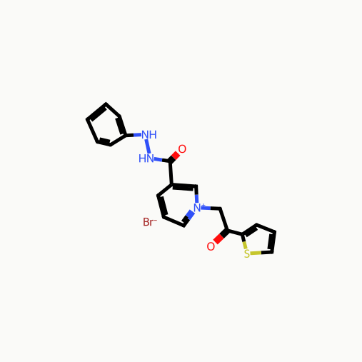 O=C(NNc1ccccc1)c1ccc[n+](CC(=O)c2cccs2)c1.[Br-]